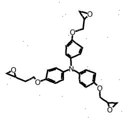 c1cc(N(c2ccc(OCC3CO3)cc2)c2ccc(OCC3CO3)cc2)ccc1OCCC1CO1